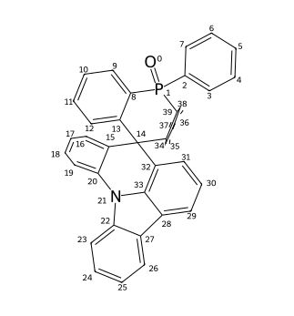 O=P1(c2ccccc2)c2ccccc2C2(c3ccccc3-n3c4ccccc4c4cccc2c43)c2ccccc21